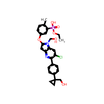 CCOP(=O)(O)c1cc(Oc2cc3nc(-c4ccc(C5(CO)CC5)cc4)c(Cl)cc3n2CO)ccc1C